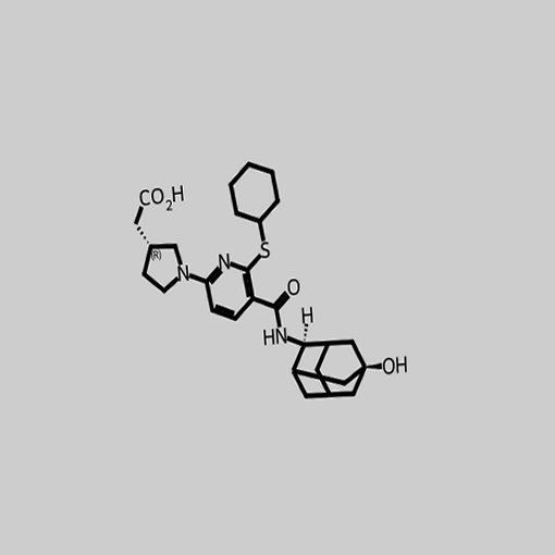 O=C(O)C[C@H]1CCN(c2ccc(C(=O)N[C@H]3C4CC5CC3C[C@@](O)(C5)C4)c(SC3CCCCC3)n2)C1